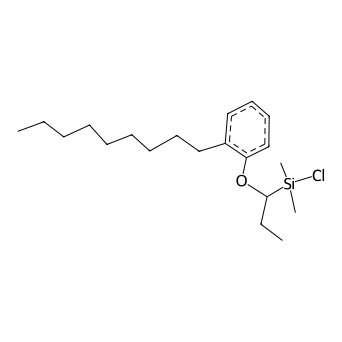 CCCCCCCCCc1ccccc1OC(CC)[Si](C)(C)Cl